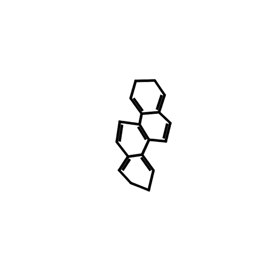 C1=c2ccc3c4c(ccc3c2=CCC1)=CCCC=4